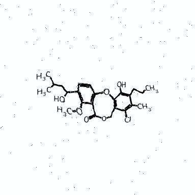 CCCc1c(C)c(Cl)c2c(c1O)Oc1ccc([C@@H](O)CC(C)C)c(OC)c1C(=O)OC2